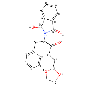 O=C(CCC1OCCO1)C(Cc1ccccc1)N1C(=O)c2ccccc2C1=O